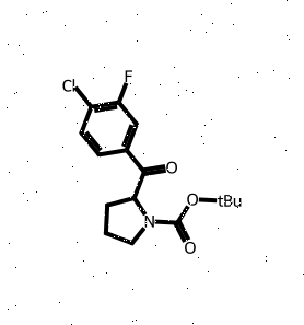 CC(C)(C)OC(=O)N1CCCC1C(=O)c1ccc(Cl)c(F)c1